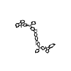 CC1(c2ccc(N(c3ccccc3)c3ccc4c(c3)sc3cc5cc6c(cc5cc34)sc3cc(N(c4ccccc4)c4ccc(C5(C)c7ccccc7-c7ccccc75)cc4)ccc36)cc2)c2ccccc2-c2ccccc21